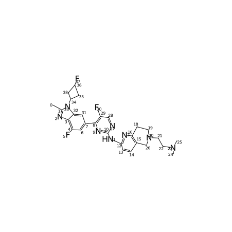 Cc1nc2c(F)cc(-c3nc(Nc4ccc5c(n4)CCN(CCN(C)C)C5)ncc3F)cc2n1C1CC(F)C1